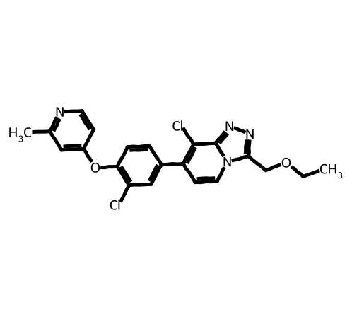 CCOCc1nnc2c(Cl)c(-c3ccc(Oc4ccnc(C)c4)c(Cl)c3)ccn12